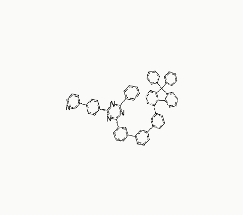 c1ccc(-c2nc(-c3ccc(-c4cccnc4)cc3)nc(-c3cccc(-c4cccc(-c5cccc(-c6cccc7c6-c6ccccc6C7(c6ccccc6)c6ccccc6)c5)c4)c3)n2)cc1